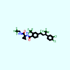 O=C(NC1(C(=O)NCC(F)(F)F)CC1)c1ccc(C(F)=CC(c2ccc(Cl)c(Cl)c2)C(F)(F)F)cc1C(F)(F)F